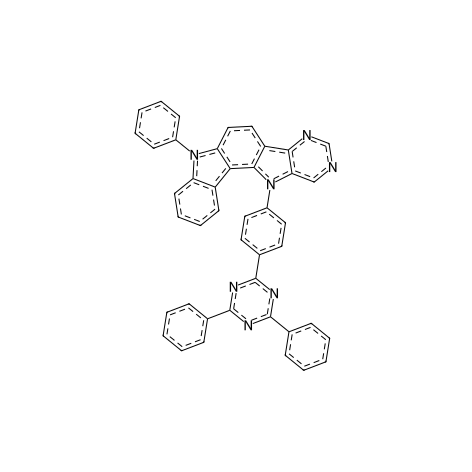 c1ccc(-c2nc(-c3ccccc3)nc(-c3ccc(-n4c5cncnc5c5ccc6c(c7ccccc7n6-c6ccccc6)c54)cc3)n2)cc1